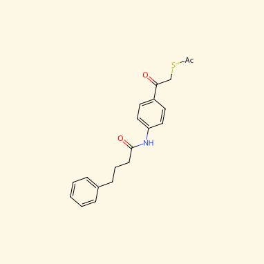 CC(=O)SCC(=O)c1ccc(NC(=O)CCCc2ccccc2)cc1